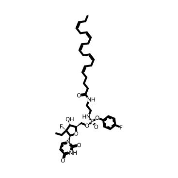 CC/C=C\C/C=C\C/C=C\C/C=C\C/C=C\CCCC(=O)NCCNP(=O)(OC[C@H]1O[C@@H](n2ccc(=O)[nH]c2=O)[C@@](F)(CC)[C@@H]1O)Oc1ccc(F)cc1